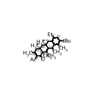 C=C1C2=C(C)C3(C)C(=O)C(C(C)=O)=C(C)CC3(C)CC2(C)Cc2c(CC)cc(C(C)(C)C)c(C)c21